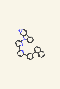 C1=Cc2c(n(-c3cccc(-c4cccc(-c5cccc(-c6cccc7ccccc67)c5)n4)n3)c3ccccc23)CN1